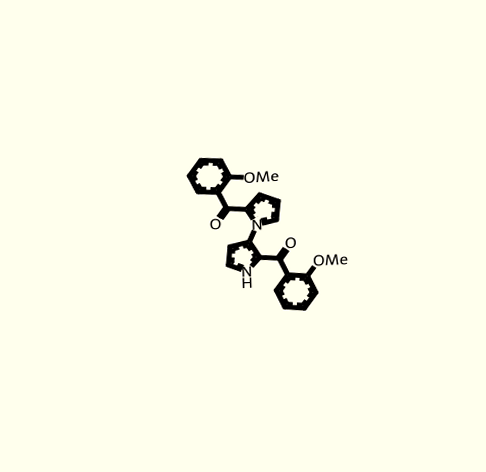 COc1ccccc1C(=O)c1[nH]ccc1-n1cccc1C(=O)c1ccccc1OC